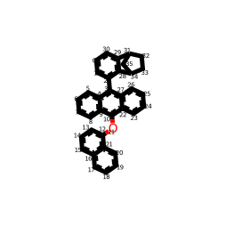 c1cc(-c2c3ccccc3c(Oc3cccc4ccccc34)c3ccccc23)c2c(c1)C1CCC2C1